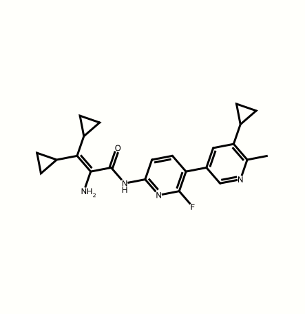 Cc1ncc(-c2ccc(NC(=O)C(N)=C(C3CC3)C3CC3)nc2F)cc1C1CC1